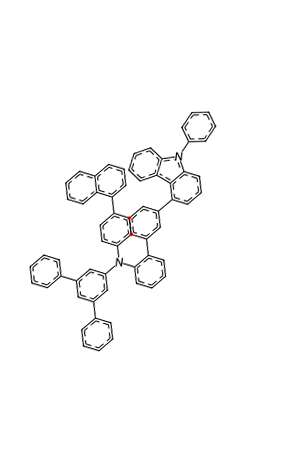 c1ccc(-c2cc(-c3ccccc3)cc(N(c3ccc(-c4cccc5ccccc45)cc3)c3ccccc3-c3cccc(-c4cccc5c4c4ccccc4n5-c4ccccc4)c3)c2)cc1